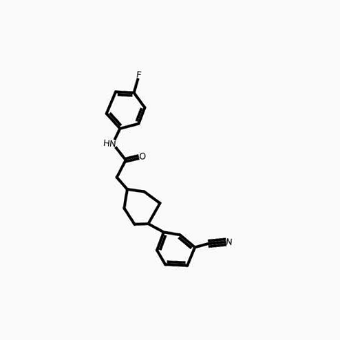 N#Cc1cccc(C2CCC(CC(=O)Nc3ccc(F)cc3)CC2)c1